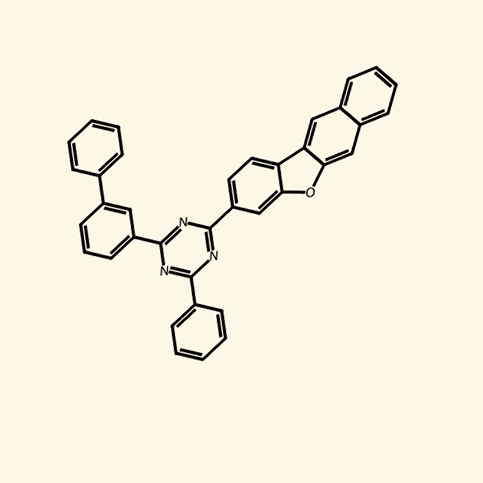 c1ccc(-c2cccc(-c3nc(-c4ccccc4)nc(-c4ccc5c(c4)oc4cc6ccccc6cc45)n3)c2)cc1